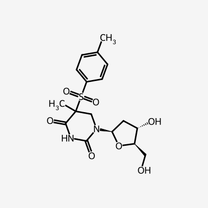 Cc1ccc(S(=O)(=O)C2(C)CN([C@H]3C[C@H](O)[C@@H](CO)O3)C(=O)NC2=O)cc1